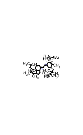 C=C(C)CC[C@H](C)[C@@H](C)C1CCC2/C(=C/C=C3\C[C@@H](CC(C)(C)[Si](C)(C)O)C(=C)[C@H](O[Si](C)(C)C(C)(C)C)C3)CCC[C@@]21C